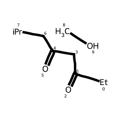 CCC(=O)CC(=O)CC(C)C.CO